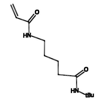 C=CC(=O)NCCCCC(=O)NC(C)(C)C